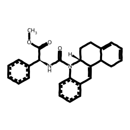 COC(=O)[C@@H](NC(=O)N1c2ccccc2C=C2C3CC=CC=C3CC[C@H]21)c1ccccc1